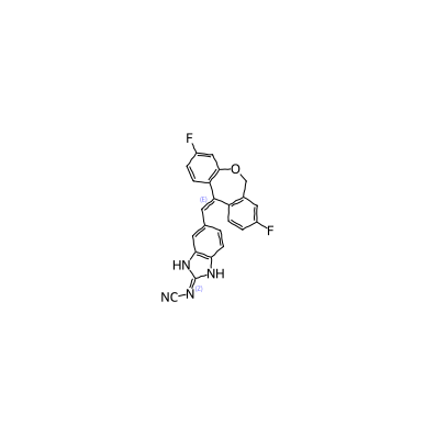 N#C/N=c1/[nH]c2ccc(/C=C3\c4ccc(F)cc4COc4cc(F)ccc43)cc2[nH]1